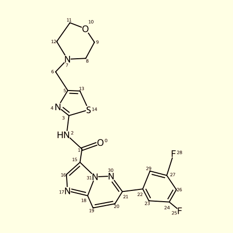 O=C(Nc1nc(CN2CCOCC2)cs1)c1cnc2ccc(-c3cc(F)cc(F)c3)nn12